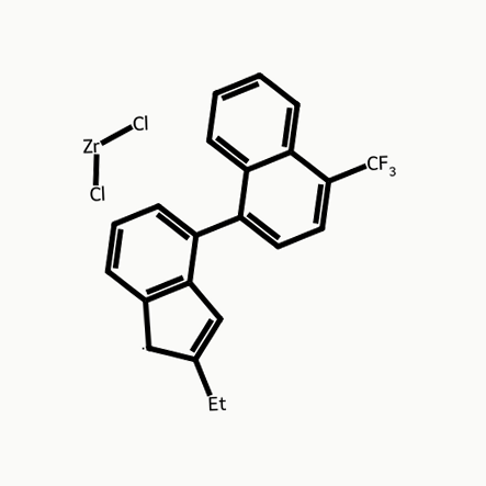 CCC1=Cc2c(cccc2-c2ccc(C(F)(F)F)c3ccccc23)[CH]1.[Cl][Zr][Cl]